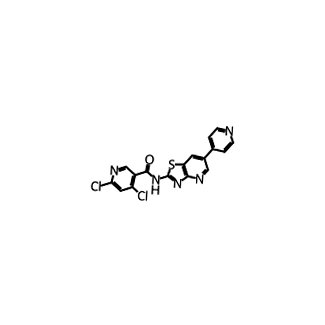 O=C(Nc1nc2ncc(-c3ccncc3)cc2s1)c1cnc(Cl)cc1Cl